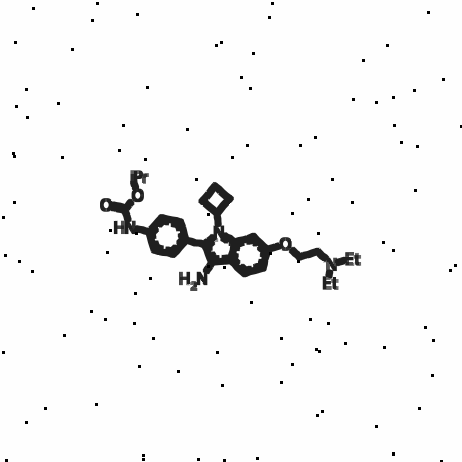 CCN(CC)CCOc1ccc2c(N)c(-c3ccc(NC(=O)OC(C)C)cc3)n(C3CCC3)c2c1